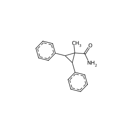 CC1(C(N)=O)C(c2ccccc2)C1c1ccccc1